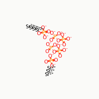 O=P([O-])([O-])OP(=O)([O-])[O-].O=P([O-])([O-])OP(=O)([O-])[O-].O=P([O-])([O-])[O-].O=P([O-])([O-])[O-].[Sr+2].[Sr+2].[Sr+2].[Sr+2].[Sr+2].[Sr+2].[Sr+2]